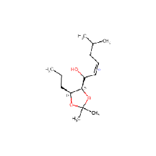 CCC[C@@H]1OC(C)(C)O[C@@H]1C(O)/C=C\CC(C)C